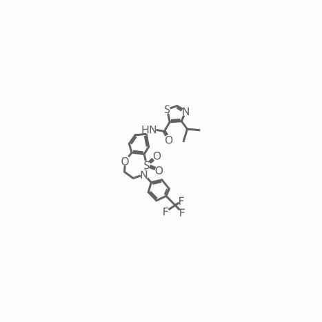 CC(C)c1ncsc1C(=O)Nc1ccc2c(c1)S(=O)(=O)N(c1ccc(C(F)(F)F)cc1)CCO2